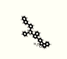 CC1(C)c2cc(-c3ccc(-c4cc(-c5cccc(-c6ccc7ccccc7c6)c5)nc(-c5ccccc5)n4)c4ccccc34)ccc2-c2c1ccc1ccccc21